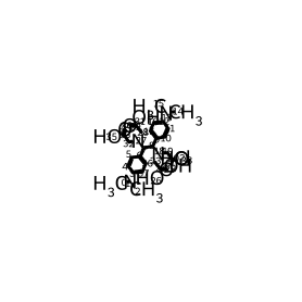 CN(C)c1ccc([C@@H]([C@H](c2ccc(N(C)C)cc2)N(CC(=O)O)CC(=O)O)N(CC(=O)O)CC(=O)O)cc1.Cl